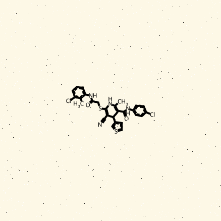 CC1=C(C(=O)Nc2ccc(Cl)cc2)C(c2ccsc2)C(C#N)=C(SCC(=O)Nc2cccc(Cl)c2C)N1